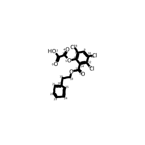 O=C(O)C(=O)Oc1c(Cl)cc(Cl)c(Cl)c1C(=O)OCCc1ccccc1